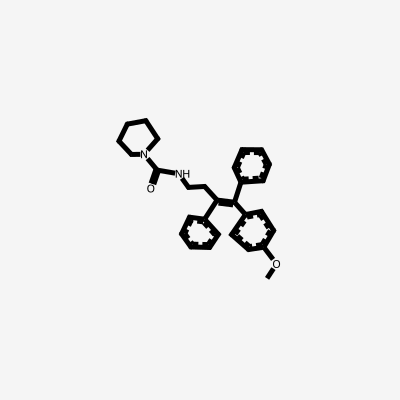 COc1ccc(C(=C(CCNC(=O)N2CCCCC2)c2ccccc2)c2ccccc2)cc1